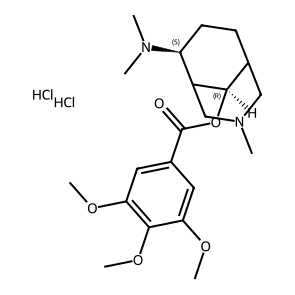 COc1cc(C(=O)O[C@@H]2C3CC[C@H](N(C)C)C2CN(C)C3)cc(OC)c1OC.Cl.Cl